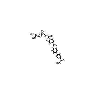 COC(=O)c1ccc(-c2ccc(OC(=O)c3ccc(C(C)(C)OCCC(C)(C)OC(=O)C(CC(C)(C)C)C(C)(C)C)cc3)cc2)cc1